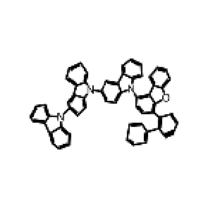 c1ccc(-c2ccc(-n3c4ccccc4c4cc(-n5c6ccccc6c6cc(-n7c8ccccc8c8ccccc87)ccc65)ccc43)c3c2oc2ccccc23)c(-c2ccccc2)c#1